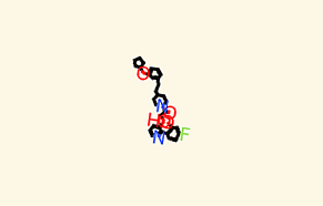 O=C(COc1cccnc1-c1ccc(F)cc1O)N1CCC(CCc2cccc(OC3CCCC3)c2)CC1